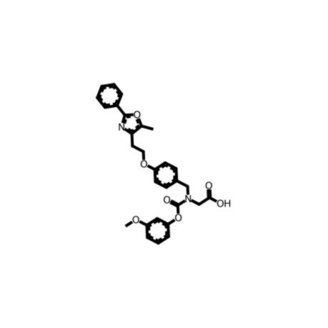 COc1cccc(OC(=O)N(CC(=O)O)Cc2ccc(OCCc3nc(-c4ccccc4)oc3C)cc2)c1